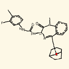 Cc1ccc(NC(=O)N[C@@H]2N=C(N3CC4CCC(CC4)C3)c3ccccc3N(C)C2=O)cc1F